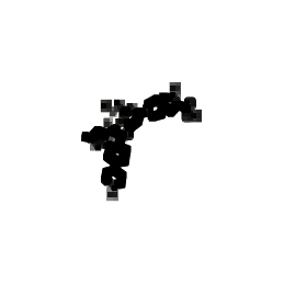 Cc1ccn(-c2cc(C3CCNCC3)ccc2[C@@H](Oc2cc(N3CCC4(CC3)CNC(C(=O)O)C4)nc(N)n2)C(F)(F)F)n1